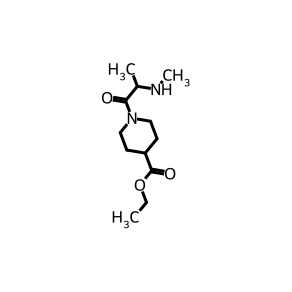 CCOC(=O)C1CCN(C(=O)C(C)NC)CC1